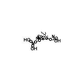 CCCCC(CC)CC1(CC(CC)CCCC)c2sc(-c3ccc(/C=C(\C#N)C(=O)O)cc3)cc2-c2cc(-c3ccc(-c4ccc(N(c5ccc(O)cc5)c5ccc(O)cc5)cc4)c4nsnc34)sc21